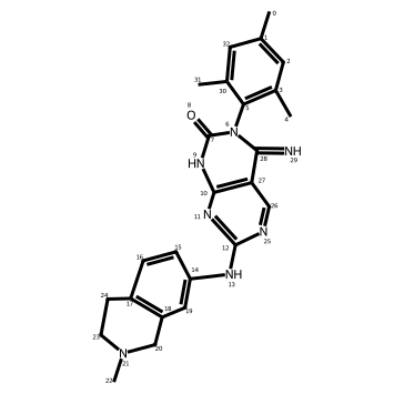 Cc1cc(C)c(-n2c(=O)[nH]c3nc(Nc4ccc5c(c4)CN(C)CC5)ncc3c2=N)c(C)c1